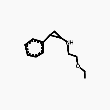 CCOCCNC1CC1c1ccccc1